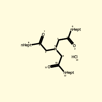 CCCCCCCC(=O)CN(CC(=O)CCCCCCC)CC(=O)CCCCCCC.Cl